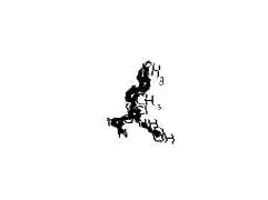 Cc1c(COc2cc(OCc3cncc(C#N)c3)c(CNCCCC(=O)O)cc2Cl)cccc1-c1cccc2c1CCN2C